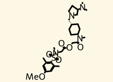 COc1cc(C)c(S(=O)(=O)N(C)CC(=O)OCC(=O)N(C)[C@H]2CC[C@@H](CN3CCC(N(C)C)C3)CC2)c(C)c1